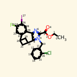 CCOC(=O)c1nc2c(n1Cc1ccccc1Cl)C1CC(C1)c1cc(F)c(I)cc1-2